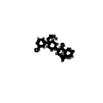 NCC1(c2cccc(Cl)c2)CCC(N(CC2CC2)C(=O)c2cccnn2)CC1